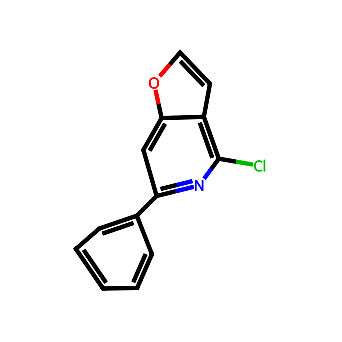 Clc1nc(-c2ccccc2)cc2occc12